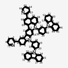 c1ccc(-c2ccc3c(c2)c2cc4c(cc2n3-c2cccc(-n3c5ccccc5c5ccccc53)c2)N(c2cccc(-n3c5ccccc5c5ccccc53)c2)c2cccc3c(-c5ccccn5)ccc-4c23)nc1